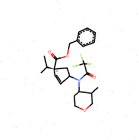 CC1COCCC1N(C(=O)C(F)(F)F)C1C=C[C@@](C(=O)OCc2ccccc2)(C(C)C)C1